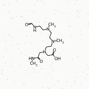 CNC(=O)CN(CCN(C)CCN(C)CCNC=O)CC(=O)O